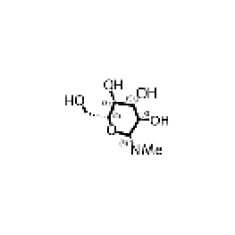 CN[C@@H]1O[C@H](CO)[C@@H](O)[C@H](O)[C@H]1O